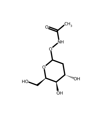 CC(=O)NOC1C[C@H](O)[C@@H](O)[C@@H](CO)O1